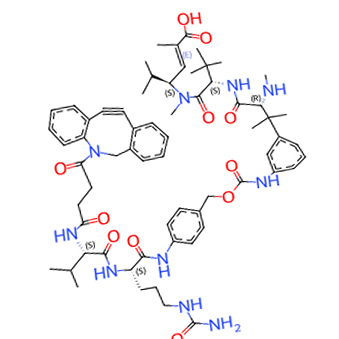 CN[C@@H](C(=O)N[C@H](C(=O)N(C)[C@H](/C=C(\C)C(=O)O)C(C)C)C(C)(C)C)C(C)(C)c1cccc(NC(=O)OCc2ccc(NC(=O)[C@H](CCCNC(N)=O)NC(=O)[C@@H](NC(=O)CCC(=O)N3Cc4ccccc4C#Cc4ccccc43)C(C)C)cc2)c1